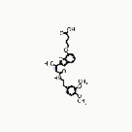 COc1ccc(CCNC(=O)/C=C(/C)c2cc3cccc(OCCCC(=O)O)c3o2)cc1OC